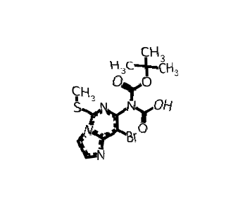 CSc1nc(N(C(=O)O)C(=O)OC(C)(C)C)c(Br)c2nccn12